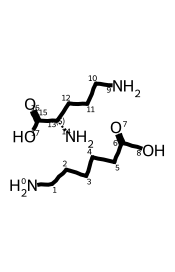 NCCCCCC(=O)O.NCCC[C@H](N)C(=O)O